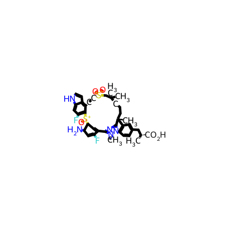 C[C@H](Cc1cccc([C@@]2(C)CCCC(C)(C)CS(=O)(=O)CCc3c(c(F)cc4[nH]ccc34)[S+]([O-])C3C=C(C(F)=CC3N)c3nc2nn3C)c1)C(=O)O